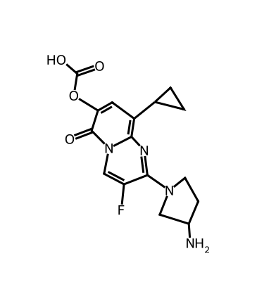 NC1CCN(c2nc3c(C4CC4)cc(OC(=O)O)c(=O)n3cc2F)C1